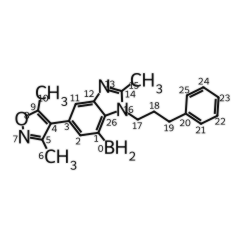 Bc1cc(-c2c(C)noc2C)cc2nc(C)n(CCCc3ccccc3)c12